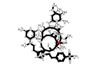 C=C1CC[C@@H]2[C@@H](C)C(=N)[C@H](C)C[C@@](C)(OC1)[C@H](O[C@@H]1O[C@H](C)C[C@H](N(C)CCc3cn([C@H](CF)Cc4ccc(S(C)(=O)=O)cc4)nn3)[C@H]1O)[C@@H](C)[C@H](O[C@H]1C[C@@](C)(OC)[C@@H](O)[C@H](C)O1)[C@@H](C)C(=O)O[C@H](CC)[C@@]2(C)O